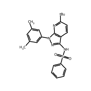 Cc1cc(C)cc(-n2nc(NS(=O)(=O)c3ccccc3)c3ccc(C(C)(C)C)nc32)c1